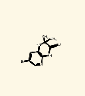 CC1(C)Nc2cc(Br)cnc2NC1=O